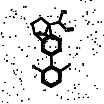 CC12CC13CC[C@]2(C(C#N)C=O)c1nnc(-c2c(F)cccc2F)cc13